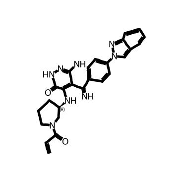 C=CC(=O)N1CCC[C@@H](Nc2c(C(=N)c3ccc(-n4cc5ccccc5n4)cc3)c(N)n[nH]c2=O)C1